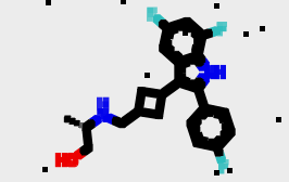 C[C@@H](CO)NCC1CC(c2c(-c3ccc(F)cc3)[nH]c3c(F)cc(F)cc23)C1